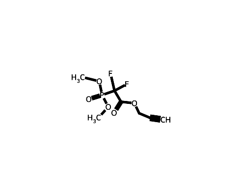 C#CCOC(=O)C(F)(F)P(=O)(OC)OC